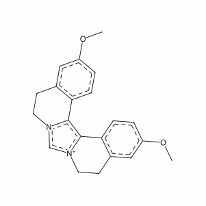 COc1ccc2c(c1)CCn1c[n+]3c(c1-2)-c1ccc(OC)cc1CC3